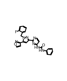 O=C(Nc1ccccc1)Nc1ccnc(-c2cc(-c3ccon3)n(Cc3ccccc3F)n2)n1